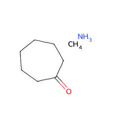 C.N.O=C1CCCCCC1